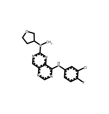 CN(c1ncc2ncnc(Nc3ccc(F)c(Cl)c3)c2n1)C1CCOC1